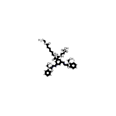 CCOC(=O)CCCCCNC(=O)C1(C(=O)NCCS(=O)(=O)O)CC(/C=C/c2oc3ccccc3[n+]2CC)=CC(=C/C=C2\Oc3ccccc3N2CC)/C1